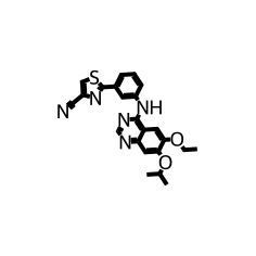 CCOc1cc2c(Nc3cccc(-c4nc(C#N)cs4)c3)ncnc2cc1OC(C)C